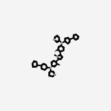 Cn1c(-c2ccc(N(c3ccc(-c4ccccc4)cc3)c3cccnc3)cc2F)ccc1-c1ccc(N(c2ccc(-c3ccccc3)cc2)c2cccnc2)cc1F